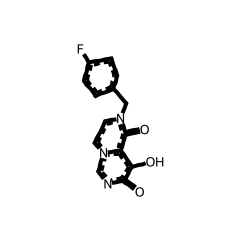 O=c1ncn2ccn(Cc3ccc(F)cc3)c(=O)c2c1O